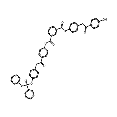 O=C(Cc1ccc(OC(=O)c2cccc(C(=O)Oc3ccc(C(=O)Cc4ccc(OP(=O)(Oc5ccccc5)c5ccccc5)cc4)cc3)c2)cc1)c1ccc(O)cc1